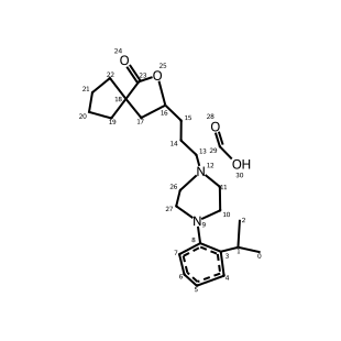 CC(C)c1ccccc1N1CCN(CCCC2CC3(CCCC3)C(=O)O2)CC1.O=CO